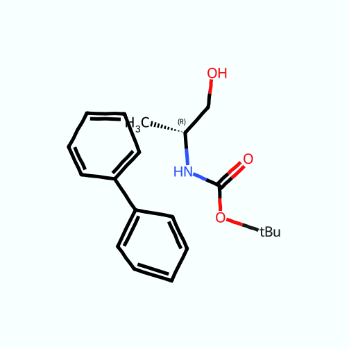 C[C@H](CO)NC(=O)OC(C)(C)C.c1ccc(-c2ccccc2)cc1